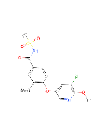 COc1cc(C(=O)NS(C)(=O)=O)ccc1Oc1cnc(OC(C)C)c(Cl)c1